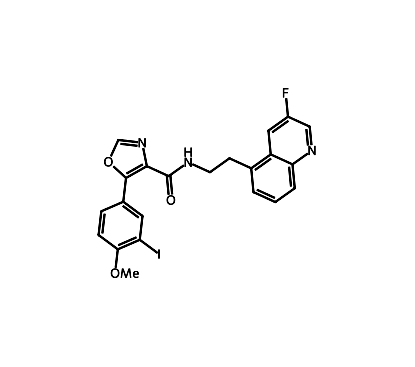 COc1ccc(-c2ocnc2C(=O)NCCc2cccc3ncc(F)cc23)cc1I